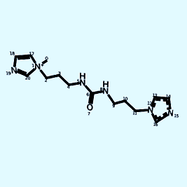 C[N+]1(CCCNC(=O)NCCCn2ccnc2)C=CN=C1